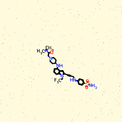 CN(C)C(=O)CN1CCC(Nc2cccc3c2cc(C#CCNc2ccc(S(N)(=O)=O)cc2)n3CC(F)(F)F)CC1